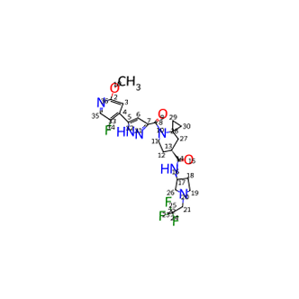 COc1cc(-c2cc(C(=O)N3CC[C@H](C(=O)N[C@H]4CCN(CC(F)(F)F)C4)CC34CC4)n[nH]2)c(F)cn1